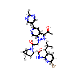 CC(=O)c1nn(CC(=O)N2C3C[C@]3(C)C[C@H]2C(=O)Nc2nc(Br)ccc2CC(C)C)c2cnc(-c3cnc(C)nc3)cc12